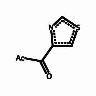 CC(=O)C(=O)c1cscn1